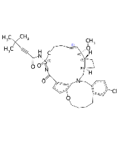 CO[C@H]1/C=C/CCC[S@@](=O)(NC(=O)C#CC(C)(C)C)=NC(=O)c2ccc3c(c2)N(Cc2ccc(Cl)cc2CCCCO3)C[C@@H]2CC[C@H]21